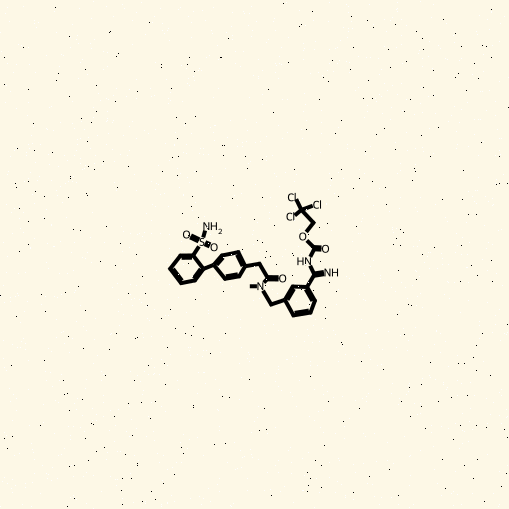 CN(Cc1cccc(C(=N)NC(=O)OCC(Cl)(Cl)Cl)c1)C(=O)Cc1ccc(-c2ccccc2S(N)(=O)=O)cc1